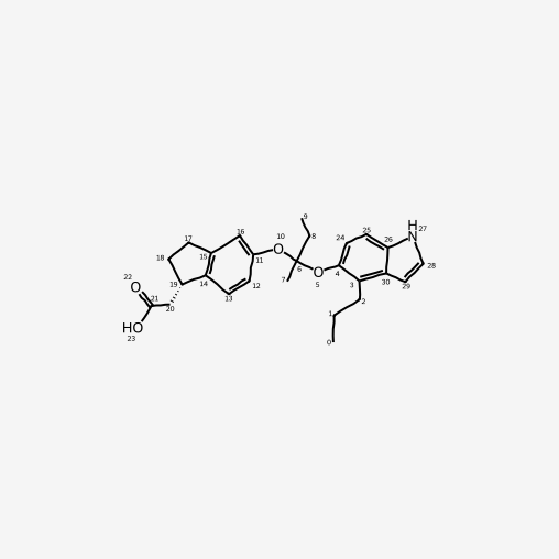 CCCc1c(OC(C)(CC)Oc2ccc3c(c2)CC[C@H]3CC(=O)O)ccc2[nH]ccc12